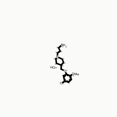 COc1ccc(Cl)cc1OCC1CCN(CCCN)CC1.Cl